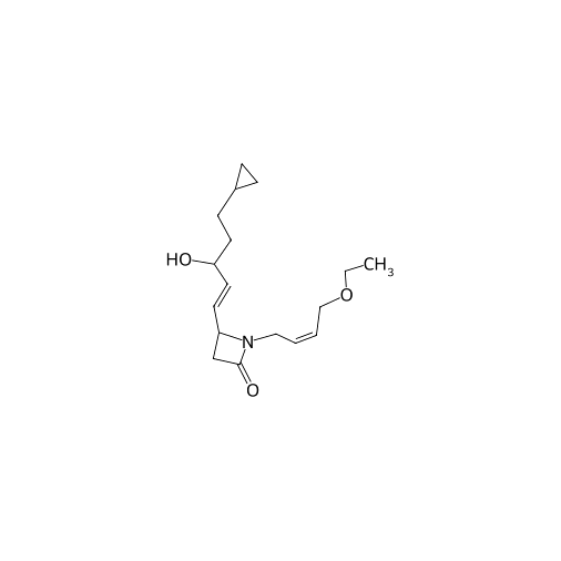 CCOC/C=C\CN1C(=O)CC1/C=C/C(O)CCC1CC1